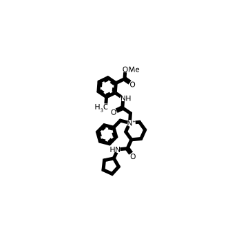 COC(=O)c1cccc(C)c1NC(=O)C[N+]1(Cc2ccccc2)CCCC(C(=O)NC2CCCC2)C1